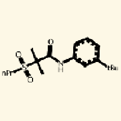 CCCS(=O)(=O)C(C)(C)C(=O)Nc1cccc(C(C)(C)C)c1